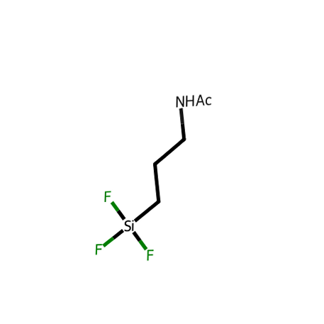 CC(=O)NCCC[Si](F)(F)F